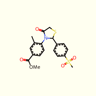 COC(=O)c1ccc(N2C(=O)CSC2c2ccc(S(C)(=O)=O)cc2)c(C)c1